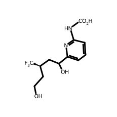 O=C(O)Nc1cccc(C(O)C[C@@H](CCO)C(F)(F)F)n1